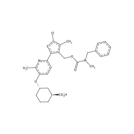 Cc1nc(-c2sc(Cl)c(C)c2COC(=O)N(C)Cc2ccccc2)ccc1O[C@H]1CCC[C@H](C(=O)O)C1